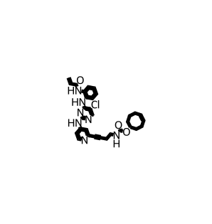 C=CC(=O)Nc1ccccc1Nc1nc(Nc2ccnc(C#CCCNC(=O)OC3CCC=CCCC3)c2)ncc1Cl